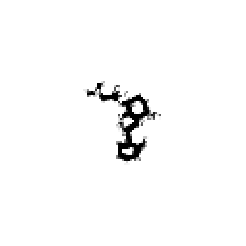 CC(C)[C@H]1CC[C@](C)(NC(=O)CN(C)C)c2nnc(-c3ccccc3F)cc21